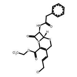 O=C(Cc1ccccc1)N[C@@H]1C(=O)N2C(C(=O)OCC(Cl)(Cl)Cl)=C(C=CCCl)CS[C@@H]12